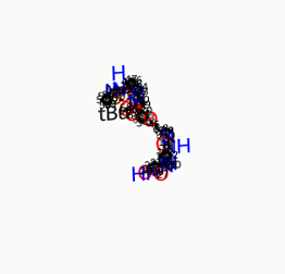 Cc1c(OCCC[C@H]2CCN(CC(=O)Nc3ccc4c(C5CCC(=O)NC5=O)nn(C)c4c3)C2)cccc1-c1ccc(N2CCc3cccc(C(=O)Nc4nc5ccccc5s4)c3C2)nc1C(=O)OC(C)(C)C